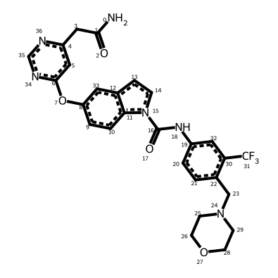 NC(=O)Cc1cc(Oc2ccc3c(ccn3C(=O)Nc3ccc(CN4CCOCC4)c(C(F)(F)F)c3)c2)ncn1